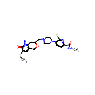 CNC(=O)c1ccc(N2CCN(CC3Cc4[nH]c(=O)c(SC)cc4CO3)CC2)c(F)n1